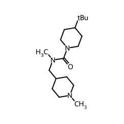 CN1CCC(CN(C)C(=O)N2CCC(C(C)(C)C)CC2)CC1